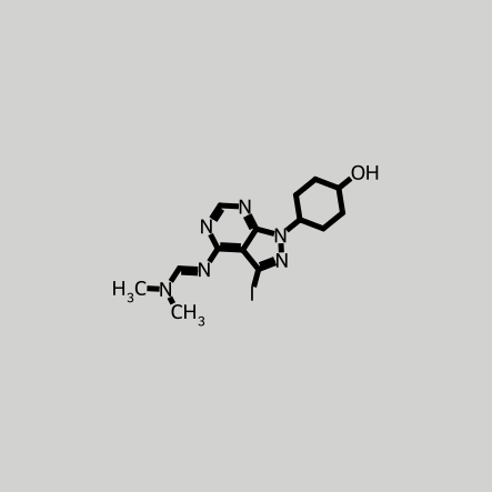 CN(C)C=Nc1ncnc2c1c(I)nn2C1CCC(O)CC1